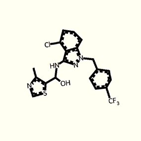 Cc1ncsc1C(O)Nc1nn(Cc2ccc(C(F)(F)F)cc2)c2cccc(Cl)c12